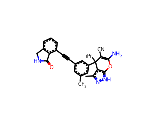 Cc1n[nH]c2c1C(c1cc(C#Cc3cccc4c3C(=O)NC4)cc(C(F)(F)F)c1)(C(C)C)C(C#N)=C(N)O2